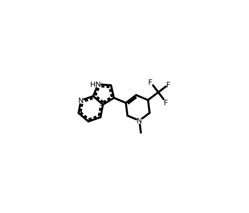 CN1CC(c2c[nH]c3ncccc23)=CC(C(F)(F)F)C1